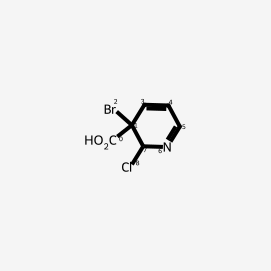 O=C(O)C1(Br)C=CC=NC1Cl